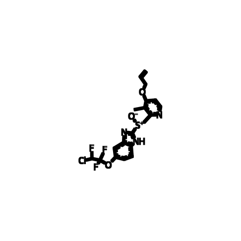 C=CCOc1ccnc(C[S+]([O-])c2nc3cc(OC(F)(F)C(F)Cl)ccc3[nH]2)c1C